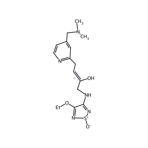 CCOc1n[s+]([O-])nc1NC/C(O)=C/Cc1cc(CN(C)C)ccn1